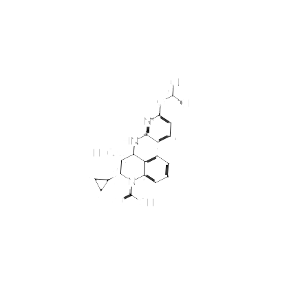 CC(=O)N1c2ccccc2C(Nc2cccc(OC(C)C)n2)[C@@H](C)[C@@H]1C1CC1